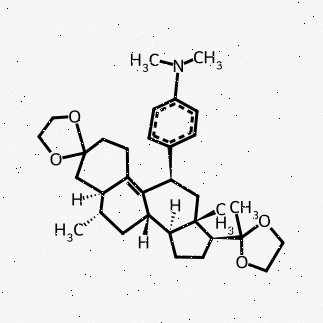 C[C@H]1C[C@@H]2C(=C3CCC4(C[C@@H]31)OCCO4)[C@@H](c1ccc(N(C)C)cc1)C[C@]1(C)[C@@H](C3(C)OCCO3)CC[C@@H]21